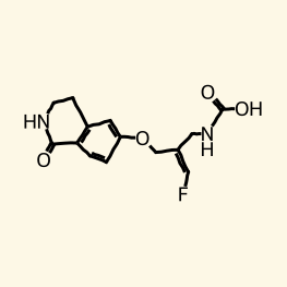 O=C(O)NC/C(=C/F)COc1ccc2c(c1)CCNC2=O